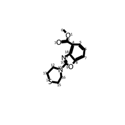 COC(=O)c1cccc2oc(N3CCSCC3)nc12